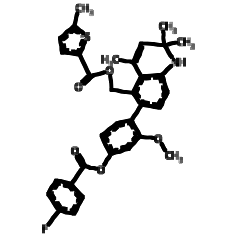 COc1cc(OC(=O)c2ccc(F)cc2)ccc1-c1ccc2c(c1COC(=O)c1ccc(C)s1)C(C)=CC(C)(C)N2